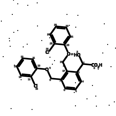 O=C(O)C(O)c1cccc(COc2ccccc2Cl)c1COc1ccccc1Cl